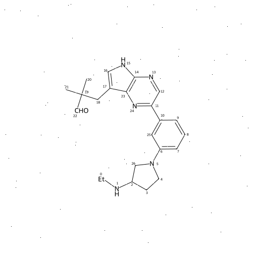 CCNC1CCN(c2cccc(-c3cnc4[nH]cc(CC(C)(C)C=O)c4n3)c2)C1